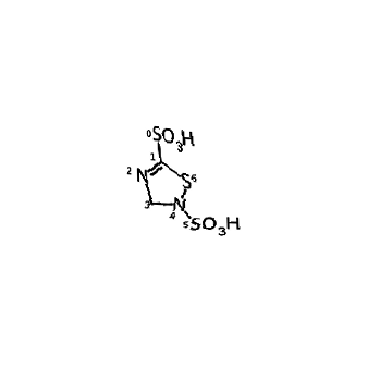 O=S(=O)(O)C1=NCN(S(=O)(=O)O)S1